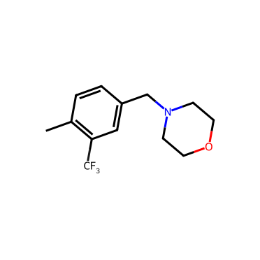 Cc1ccc(CN2CCOCC2)cc1C(F)(F)F